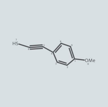 COc1ccc(C#CS)cc1